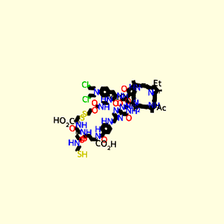 CC[C@H]1c2cc3[nH]c4c(c3C)C(=O)C(C(=O)OC)c4c3nc(cc4[nH]c(cc(n2)[C@@H]1C)c(C(C)=O)c4C)[C@@H](C)[C@@H]3CCC(=O)NC(Cc1ccc(N(CCCl)CCCl)cc1)C(=O)NCCNC(=O)OCCSSC[C@H](NC(=O)[C@H](CC(=O)NCCS)NC(=O)CC[C@H](NC(=O)c1ccc(NCc2cnc3nc(N)[nH]c(=O)c3n2)cc1)C(=O)O)C(=O)O